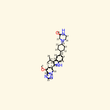 COc1cc(-c2[nH]c3ccc(C4CCC(N5CCNC(=O)C5)CC4)cc3c2C(C)C)cn2ncnc12